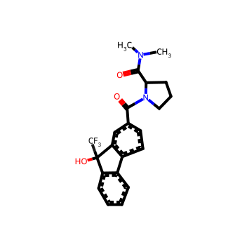 CN(C)C(=O)C1CCCN1C(=O)c1ccc2c(c1)C(O)(C(F)(F)F)c1ccccc1-2